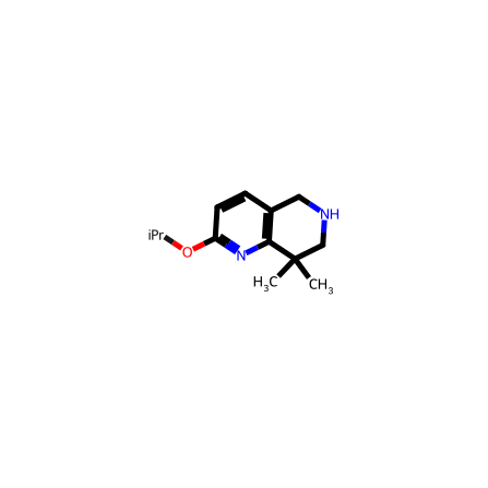 CC(C)Oc1ccc2c(n1)C(C)(C)CNC2